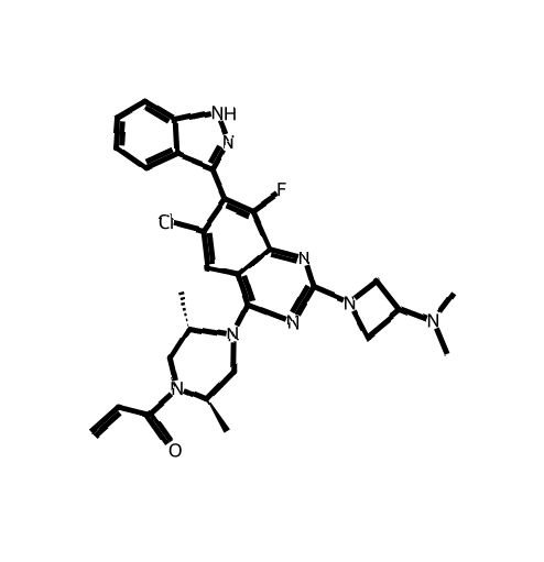 C=CC(=O)N1C[C@H](C)N(c2nc(N3CC(N(C)C)C3)nc3c(F)c(-c4n[nH]c5ccccc45)c(Cl)cc23)C[C@H]1C